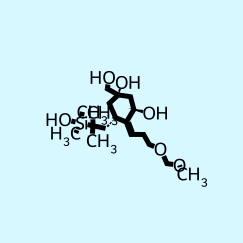 COCOCCC=C1[C@H](CC(C)(C)[Si](C)(C)O)C[C@@](O)(CO)C[C@H]1O